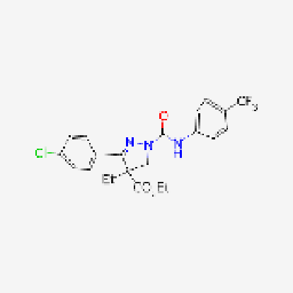 CCOC(=O)C1(CC)CN(C(=O)Nc2ccc(C(F)(F)F)cc2)N=C1c1ccc(Cl)cc1